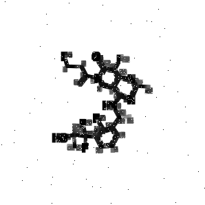 C=C(CCF)n1cc2c(N[C@H](C)c3cccc(C(F)(F)C(C)(C)O)c3F)nc(C)nc2c(F)c1=O